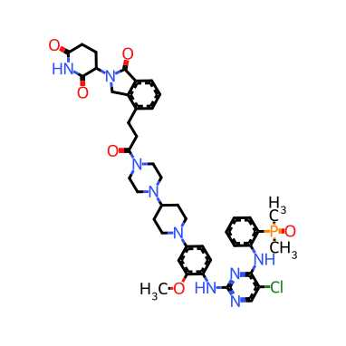 COc1cc(N2CCC(N3CCN(C(=O)CCc4cccc5c4CN(C4CCC(=O)NC4=O)C5=O)CC3)CC2)ccc1Nc1ncc(Cl)c(Nc2ccccc2P(C)(C)=O)n1